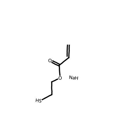 C=CC(=O)OCCS.[NaH]